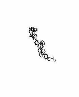 Cc1ccc(S(=O)(=O)Oc2cc(=O)n3cc(N4CCN(C(=O)OC(C)(C)C)C5(CC5)C4)ccc3n2)cc1